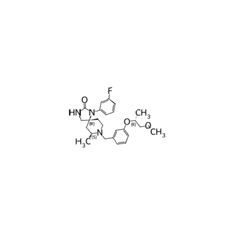 COC[C@@H](C)Oc1cccc(CN2CC[C@]3(CNC(=O)N3c3cccc(F)c3)C[C@@H]2C)c1